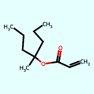 C=CC(=O)OC(C)(CCC)CCC